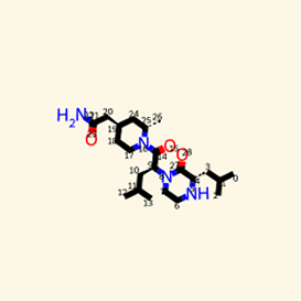 CC(C)C[C@@H]1NCCN([C@@H](CC(C)C)C(=O)N2CC[C@@H](CC(N)=O)C[C@@H]2C)C1=O